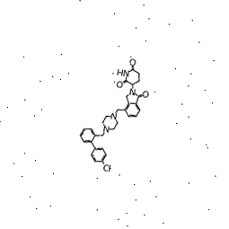 O=C1CCC(N2Cc3c(CN4CCN(Cc5ccccc5-c5ccc(Cl)cc5)CC4)cccc3C2=O)C(=O)N1